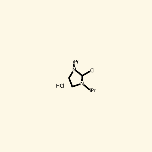 CC(C)N1CCN(C(C)C)C1Cl.Cl